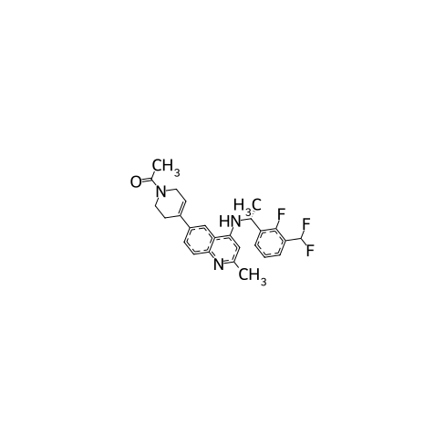 CC(=O)N1CC=C(c2ccc3nc(C)cc(N[C@H](C)c4cccc(C(F)F)c4F)c3c2)CC1